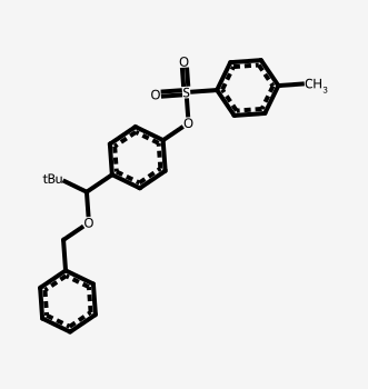 Cc1ccc(S(=O)(=O)Oc2ccc(C(OCc3ccccc3)C(C)(C)C)cc2)cc1